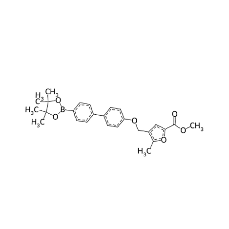 COC(=O)c1cc(COc2ccc(-c3ccc(B4OC(C)(C)C(C)(C)O4)cc3)cc2)c(C)o1